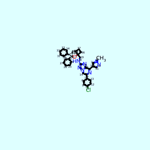 Cn1cc(-c2nc(-c3ccc(Cl)cc3)cn3nc(NCC4(O[Si](c5ccccc5)(c5ccccc5)C(C)(C)C)CCC4)nc23)cn1